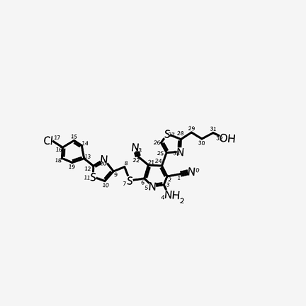 N#Cc1c(N)nc(SCc2csc(-c3ccc(Cl)cc3)n2)c(C#N)c1-c1csc(CCCO)n1